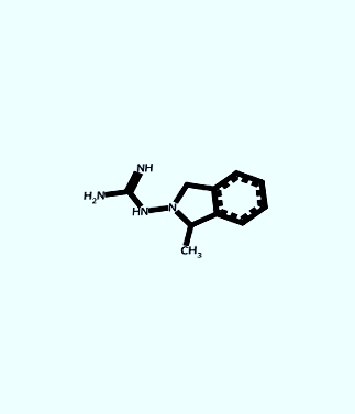 CC1c2ccccc2CN1NC(=N)N